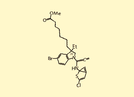 C=C=C(NC12C=C1C=C(Cl)S2)N1C[C@@](CC)(CCCCCCC(=O)OC)c2cc(Br)ccc21